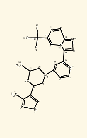 Cc1n[nH]cc1C1CN(c2ccnc(-c3cnc4cnc(C(F)(F)F)cn34)n2)CC(C)O1